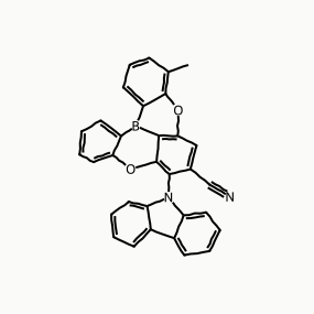 Cc1cccc2c1Oc1cc(C#N)c(-n3c4ccccc4c4ccccc43)c3c1B2c1ccccc1O3